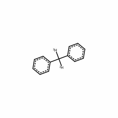 [2H]C([2H])(c1ccccc1)c1ccccc1